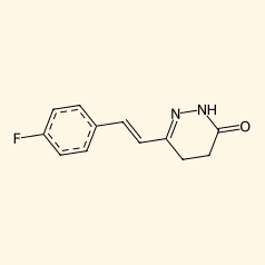 O=C1CCC(C=Cc2ccc(F)cc2)=NN1